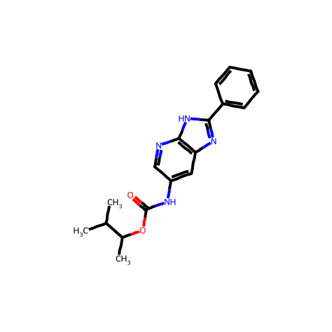 CC(C)C(C)OC(=O)Nc1cnc2[nH]c(-c3ccccc3)nc2c1